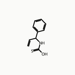 C=CC(NC(O)=S)c1ccccc1